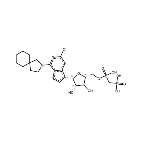 O=P(O)(O)CP(=O)(O)OC[C@H]1O[C@@H](n2cnc3c(N4CCC5(CCCCC5)C4)nc(Cl)nc32)[C@@H](O)C1O